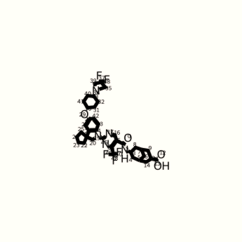 O=C(NC1CC2CC(C1)CC(C(=O)O)C2)c1cnc(N2CC3(CCCC3)c3cc(O[C@H]4CC[C@H](N5CC(F)(F)C5)CC4)ccc32)nc1C(F)(F)F